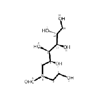 O=CN(CCO)C[C@H](O)[C@@H](O)[C@H](O)[C@H](O)CO